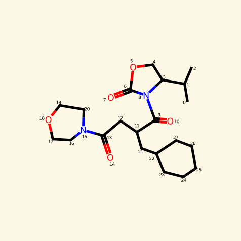 CC(C)C1COC(=O)N1C(=O)C(CC(=O)N1CCOCC1)CC1CCCCC1